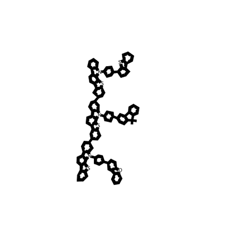 CC1(C)c2ccccc2-c2cc(-c3ccc(-n4c5cc(-c6ccc7sc8c(ccc9c%10ccccc%10n(-c%10ccc(-c%11cccc%12c%11sc%11ccccc%11%12)cc%10)c98)c7c6)ccc5c5ccc6c7cc(-c8ccc9c%10ccc%11c%12ccccc%12sc%11c%10n(-c%10ccc(-c%11ccc%12oc%13ccccc%13c%12c%11)cc%10)c9c8)ccc7sc6c54)cc3)ccc21